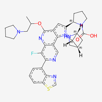 CC(CN1CCCC1)Oc1nc2c(F)c(-c3cccc4scnc34)ncc2c2c1cc([C@H]1CCCN1C(=O)O)n2[C@H]1[C@H]2CN[C@@H]1C2